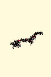 CN(C[C@@H]1CN(CCCc2ccc3c(c2)n(C)c(=O)n3C2CCC(=O)NC2=O)CCO1)C(=O)[C@H]1CC[C@H](n2cc(NC(=O)c3coc(-c4ccnc(NCC5CC5)c4)n3)c(C(F)F)n2)CC1